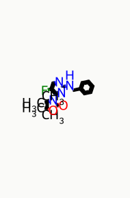 CC1(C)OC(=O)N(c2nc(NCc3ccccc3)ncc2F)C1(C)C